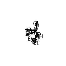 C=CC(=O)OCCOCC(COCCOC(=O)C=C)(COCCOC(=O)C=C)COC(=O)NCCC[Si](OCC)(OCC)OCC